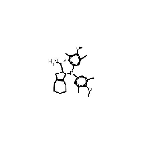 COc1c(C)cc(P(c2cc(C)c(OC)c(C)c2)[C@H]2C3=C(CCCCC3)C[C@H]2[C@@H](C)N)cc1C